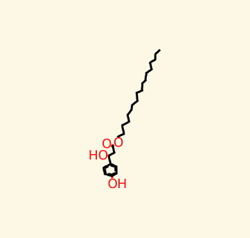 CCCCCCCCCCCCCCCCCCOC(=O)CC(O)c1ccc(O)cc1